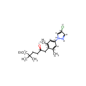 CCOC(=O)C(C)(C)CCC(=O)Cc1c(C)cc(-n2cc(Cl)cn2)cc1C